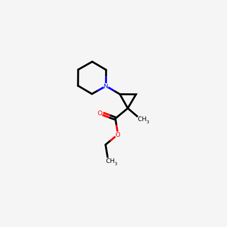 CCOC(=O)C1(C)CC1N1CCCCC1